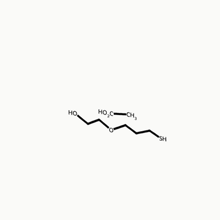 CC(=O)O.OCCOCCCS